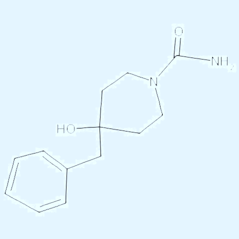 NC(=O)N1CCC(O)(Cc2ccccc2)CC1